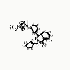 NS(=O)(=O)NCc1cccc(-c2nn(Cc3ccccc3)c(=O)c3ccccc23)c1